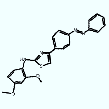 COc1ccc(Nc2nc(-c3ccc(N=Nc4ccccc4)cc3)cs2)c(OC)c1